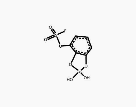 O=S(=O)(F)Oc1cccc2c1OS(O)(O)O2